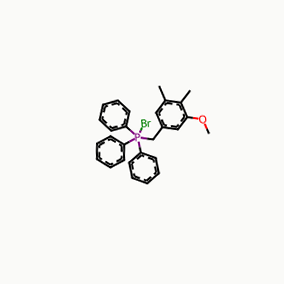 COc1cc(CP(Br)(c2ccccc2)(c2ccccc2)c2ccccc2)cc(C)c1C